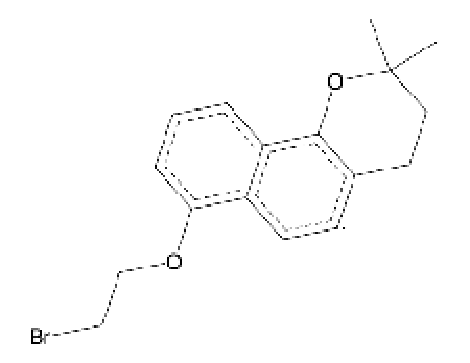 CC1(C)CCc2[c]cc3c(OCCBr)cccc3c2O1